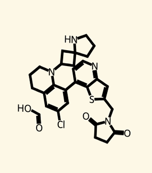 O=C1CCC(=O)N1Cc1cc2nccc(-c3cc(Cl)cc4c3N(C3CC5(CCCN5)C3)CCC4)c2s1.O=CO